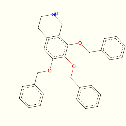 c1ccc(COc2cc3c(c(OCc4ccccc4)c2OCc2ccccc2)CNCC3)cc1